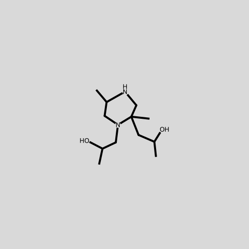 CC(O)CN1CC(C)NCC1(C)CC(C)O